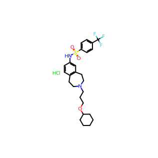 Cl.O=S(=O)(Nc1ccc2c(c1)CCN(CCCOC1CCCCC1)CC2)c1ccc(C(F)(F)F)cc1